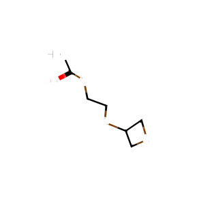 CC(=O)SCCSC1CSC1